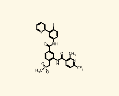 Cc1nc(C(F)(F)F)ccc1C(=O)Nc1cc(C(=O)Nc2ccc(I)c(-c3ccccn3)c2)ccc1CS(C)(=O)=O